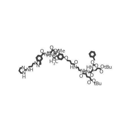 COC(=O)[C@H](CNC(=O)c1ccc2c(cnn2CCCNC2=NCCCN2)c1)NS(=O)(=O)c1c(C)cc(OCCCC(=O)NCCNC(=O)C(CCC(=O)OC(C)(C)C)NC(=O)[C@H](CCC(=O)OC(C)(C)C)NC(=O)OCc2ccccc2)cc1C